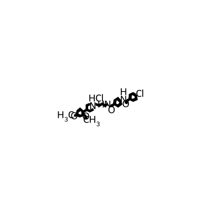 COc1ccc(C2CCN(CCCCNC(=O)c3ccc(NC(=O)c4ccc(Cl)cc4)cc3)CC2)c(OC)c1.Cl